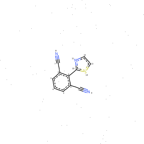 N#Cc1cccc(C#N)c1-c1n[c]cs1